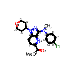 COC(=O)c1ccc2c(n1)c(N(C)c1ccc(Cl)cc1)nn2C1CCOCC1